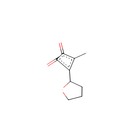 CCc1c(C2CCCO2)c(=O)c1=O